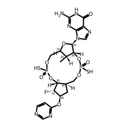 C[C@H]1[C@H]2OP(=O)(S)OC[C@H]3C[C@@H](Oc4ccncn4)[C@H](F)[C@@H]3OP(=O)(S)OC[C@H]1O[C@H]2n1cnc2c(=O)[nH]c(N)nc21